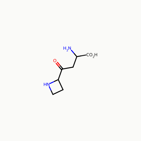 NC(CC(=O)C1CCN1)C(=O)O